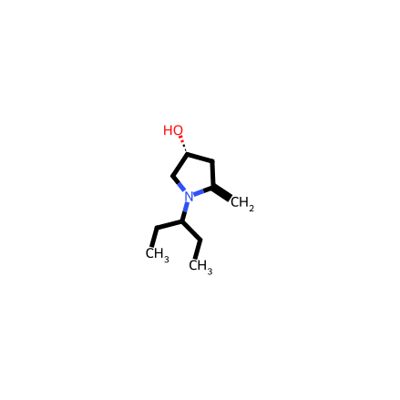 C=C1C[C@@H](O)CN1C(CC)CC